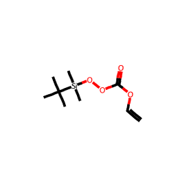 C=COC(=O)OO[Si](C)(C)C(C)(C)C